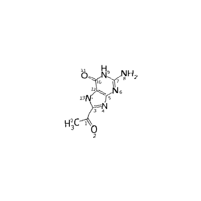 CC(=O)C1=Nc2nc(N)[nH]c(=O)c2[N]1